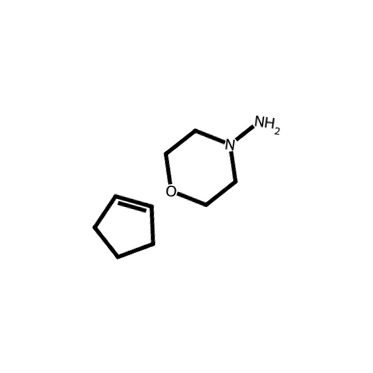 C1=CCCC1.NN1CCOCC1